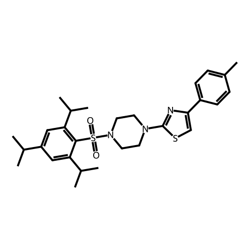 Cc1ccc(-c2csc(N3CCN(S(=O)(=O)c4c(C(C)C)cc(C(C)C)cc4C(C)C)CC3)n2)cc1